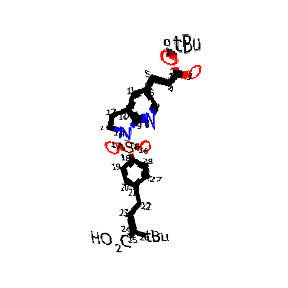 CC(C)(C)OC(=O)C=Cc1cnc2c(c1)CCN2S(=O)(=O)c1ccc(CC=C(C(=O)O)C(C)(C)C)cc1